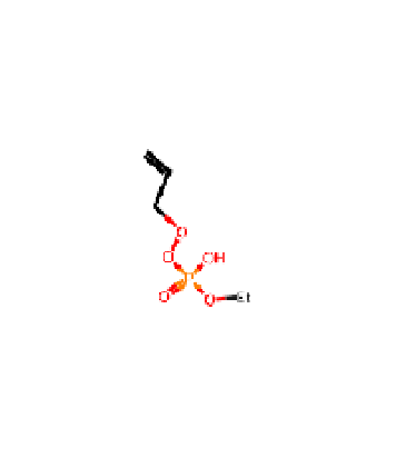 C=CCOOP(=O)(O)OCC